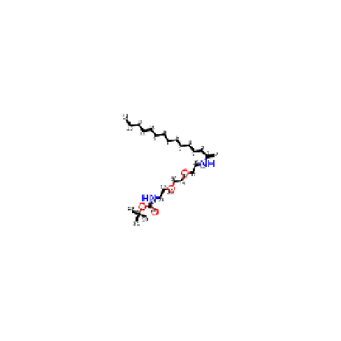 C=C(CCCCCCCCCCCCC)NCCOCCOCCNC(=O)OC(C)(C)C